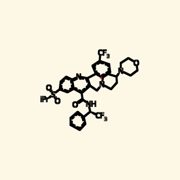 CC(C)S(=O)(=O)c1ccc2nc(-c3cccc(C(F)(F)F)c3)c(CN3CCC(N4CCOCC4)CC3)c(C(=O)N[C@H](c3ccccc3)C(F)(F)F)c2c1